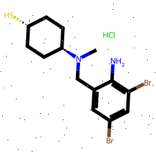 CN(Cc1cc(Br)cc(Br)c1N)[C@H]1CC[C@H](S)CC1.Cl